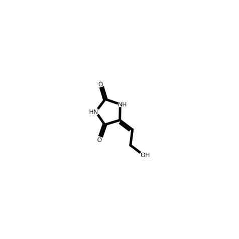 O=C1NC(=O)C(=CCO)N1